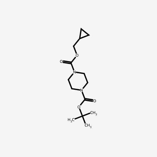 CC(C)(C)OC(=O)N1CCN(C(=O)OCC2CC2)CC1